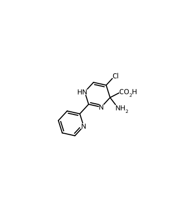 NC1(C(=O)O)N=C(c2ccccn2)NC=C1Cl